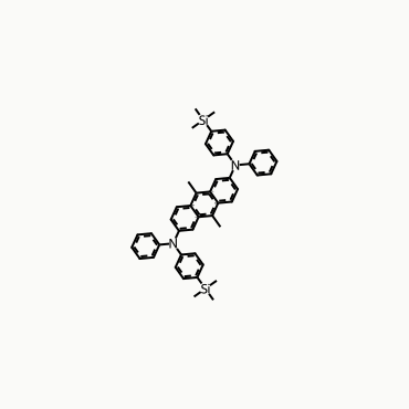 Cc1c2ccc(N(c3ccccc3)c3ccc([Si](C)(C)C)cc3)cc2c(C)c2ccc(N(c3ccccc3)c3ccc([Si](C)(C)C)cc3)cc12